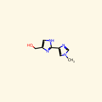 Cn1cnc(-c2nc(CO)c[nH]2)c1